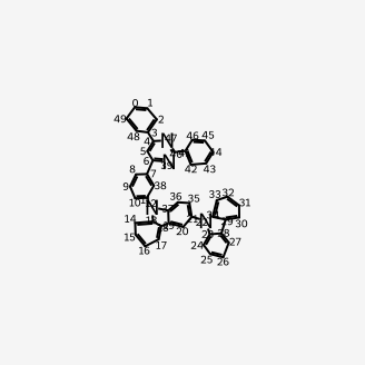 c1ccc(-c2cc(-c3cccc(-n4c5ccccc5c5cc(-n6c7ccccc7c7ccccc76)ccc54)c3)nc(-c3ccccc3)n2)cc1